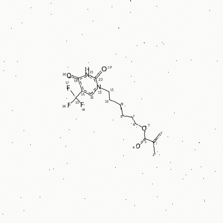 C=C(C)C(=O)OCCCCCCn1cc(C(F)(F)F)c(=O)[nH]c1=O